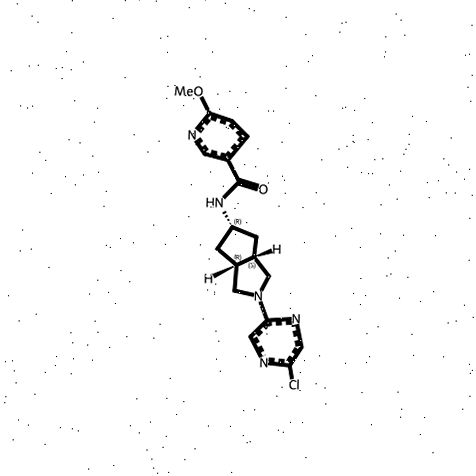 COc1ccc(C(=O)N[C@@H]2C[C@@H]3CN(c4cnc(Cl)cn4)C[C@@H]3C2)cn1